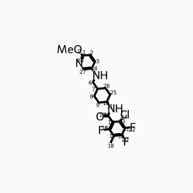 COc1ccc(NCC2CCC(NC(=O)c3c(F)c(C)c(F)c(F)c3Cl)CC2)cn1